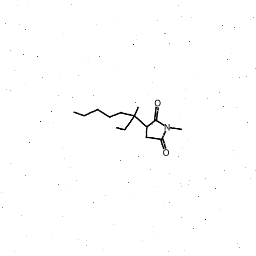 CCCCCC(C)(CC)C1CC(=O)N(C)C1=O